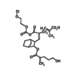 C=C(C)C(=O)O.C=C(CCCO)C(=O)OC1C2CCC(C2)C1C=C(C)C(=O)OC(=O)OCCOCC